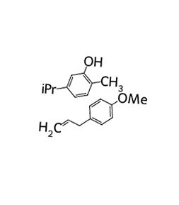 C=CCc1ccc(OC)cc1.Cc1ccc(C(C)C)cc1O